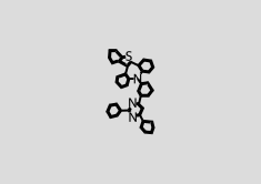 c1ccc(-c2cc(-c3cccc(N4c5ccccc5-c5sc6ccccc6c5-c5ccccc54)c3)nc(-c3ccccc3)n2)cc1